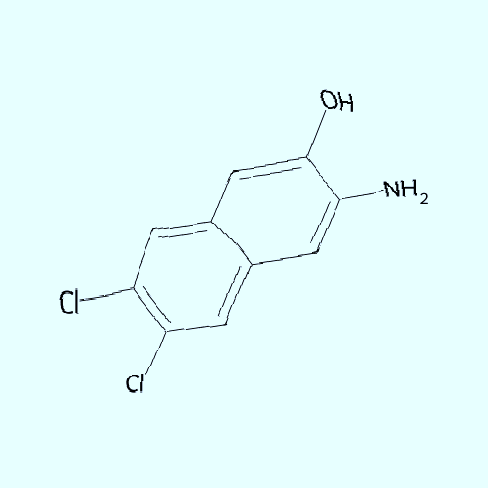 Nc1cc2cc(Cl)c(Cl)cc2cc1O